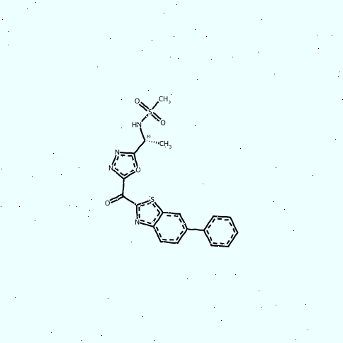 C[C@@H](NS(C)(=O)=O)c1nnc(C(=O)c2nc3ccc(-c4ccccc4)cc3s2)o1